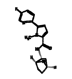 Cn1c(C(=O)N[C@@H]2C[C@H]3CC[C@@H]2N3)ccc1-c1ccc(F)cn1